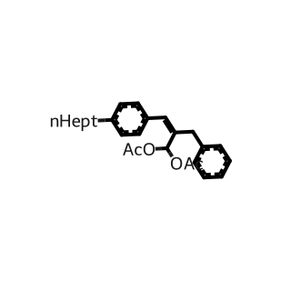 CCCCCCCc1ccc(C=C(Cc2ccccc2)C(OC(C)=O)OC(C)=O)cc1